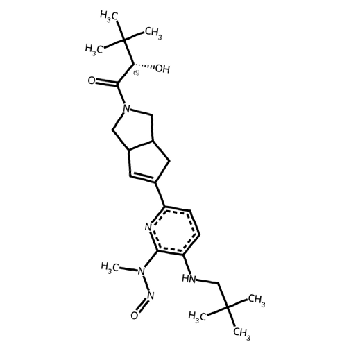 CN(N=O)c1nc(C2=CC3CN(C(=O)[C@@H](O)C(C)(C)C)CC3C2)ccc1NCC(C)(C)C